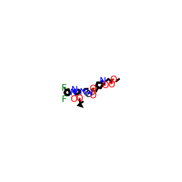 CCOC(=O)Cc1nc2ccc(CS(=O)(=O)N3CCN(c4cnn(-c5cc(F)cc(F)c5)c(=O)c4OCC4(C)CC4)CC3)cc2o1